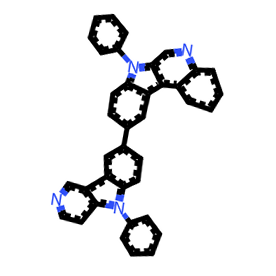 c1ccc(-n2c3ccncc3c3cc(-c4ccc5c(c4)c4c6ccccc6ncc4n5-c4ccccc4)ccc32)cc1